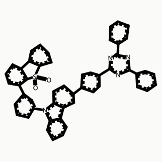 O=S1(=O)c2ccccc2-c2cccc(-c3cccc(-n4c5ccccc5c5cc(-c6ccc(-c7nc(-c8ccccc8)nc(-c8ccccc8)n7)cc6)ccc54)c3)c21